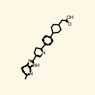 Cc1ccc2nc(C3=CN=C(c4ccc(C5CCC(CC(=O)O)CC5)cc4)CC3)[nH]c2n1